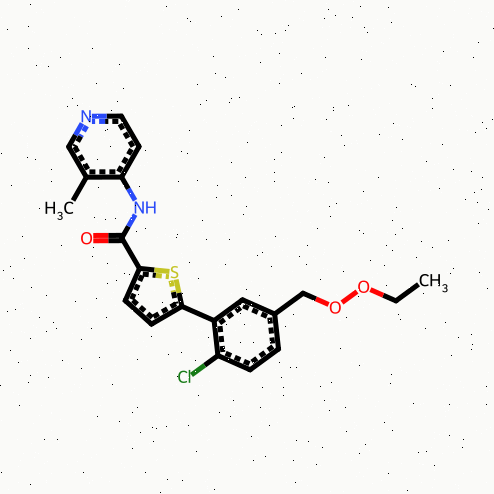 CCOOCc1ccc(Cl)c(-c2ccc(C(=O)Nc3ccncc3C)s2)c1